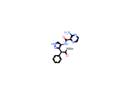 CNC(=O)C(c1ccccc1)c1n[nH]cc1NC(=O)c1nccnc1N